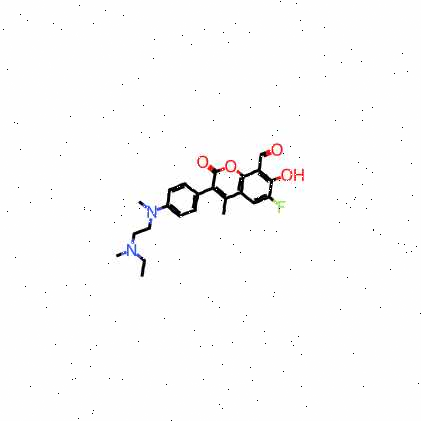 CCN(C)CCN(C)c1ccc(-c2c(C)c3cc(F)c(O)c(C=O)c3oc2=O)cc1